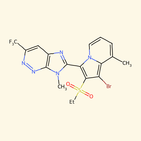 CCS(=O)(=O)c1c(Br)c2c(C)cccn2c1-c1nc2cc(C(F)(F)F)nnc2n1C